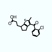 Cc1sc2c(c1C(=O)c1ccccc1Cl)CCC2CCC(=O)O